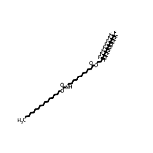 CCCCCCCCCCCCCCCCOC(=O)NCCCCCCCCCCC(=O)OCCC(F)(F)C(F)(F)C(F)(F)C(F)(F)C(F)(F)C(F)(F)C(F)(F)C(F)(F)F